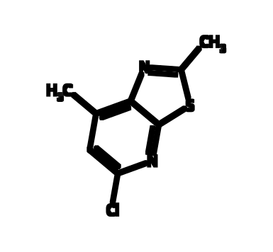 Cc1nc2c(C)cc(Cl)nc2s1